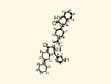 O=C(C[C@H](NCc1c[nH]cn1)C(=O)N1CCC(N2CCCCC2)CC1)N1CCC(N2Cc3ccccc3NC2=O)CC1